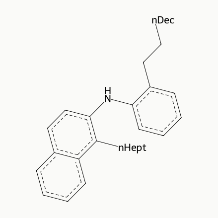 CCCCCCCCCCCCc1ccccc1Nc1ccc2ccccc2c1CCCCCCC